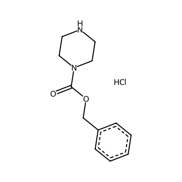 Cl.O=C(OCc1ccccc1)N1CCNCC1